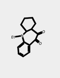 CCN1c2ccccc2C(=O)C(=O)C2CCCCC21